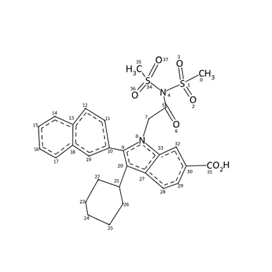 CS(=O)(=O)N(C(=O)Cn1c(-c2ccc3ccccc3c2)c(C2CCCCC2)c2ccc(C(=O)O)cc21)S(C)(=O)=O